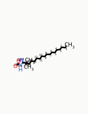 CCCCCCCCCCCCCCCCC(C)(C)c1noc(=O)[nH]1